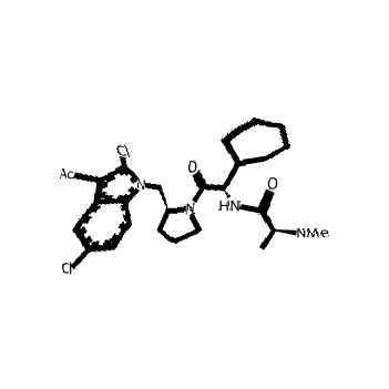 CN[C@@H](C)C(=O)N[C@H](C(=O)N1CCC[C@H]1Cn1c(Cl)c(C(C)=O)c2cc(Cl)ccc21)C1CCCCC1